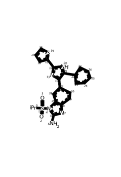 CC(C)S(=O)(=O)n1c(N)nc2ccc(-c3nc(-c4cccs4)[nH]c3-c3ccccc3)cc21